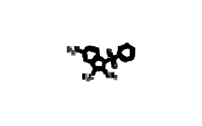 CC1=C(C)C(S(=O)(=O)c2ccccc2)c2ccc(N)cc21